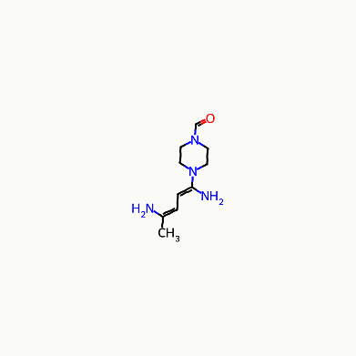 C/C(N)=C/C=C(\N)N1CCN(C=O)CC1